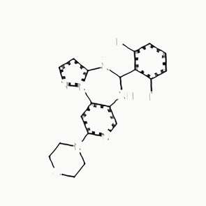 Fc1cccc(F)c1C1Nc2cnc(N3CCOCC3)cc2-n2nccc2N1